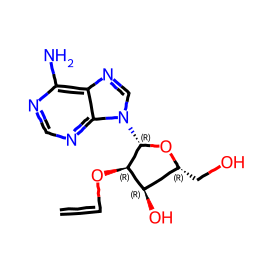 C=CO[C@@H]1[C@H](O)[C@@H](CO)O[C@H]1n1cnc2c(N)ncnc21